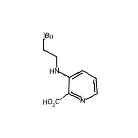 CCC(C)CCNc1cccnc1C(=O)O